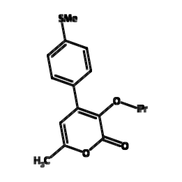 CSc1ccc(-c2cc(C)oc(=O)c2OC(C)C)cc1